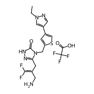 CCn1cc(-c2csc(Cn3c(CC(CN)=C(F)F)n[nH]c3=O)c2)cn1.O=C(O)C(F)(F)F